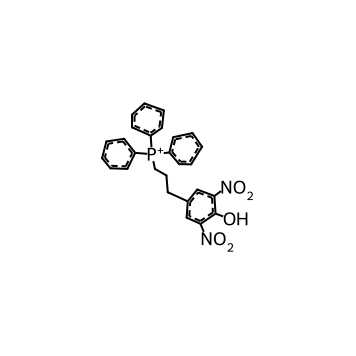 O=[N+]([O-])c1cc(CCC[P+](c2ccccc2)(c2ccccc2)c2ccccc2)cc([N+](=O)[O-])c1O